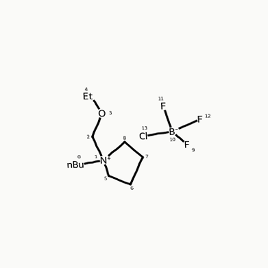 CCCC[N+]1(COCC)CCCC1.F[B-](F)(F)Cl